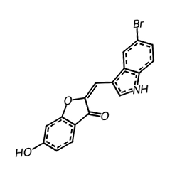 O=C1C(=Cc2c[nH]c3ccc(Br)cc23)Oc2cc(O)ccc21